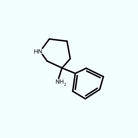 NC1(c2ccccc2)CCCNC1